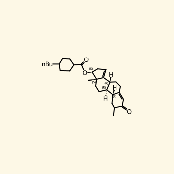 CCCCC1CCC(C(=O)O[C@H]2CC=C3[C@@H]4CCC5=CC(=O)C(C)C[C@@H]5[C@H]4CC[C@@]32C)CC1